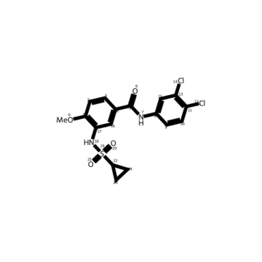 COc1ccc(C(=O)Nc2ccc(Cl)c(Cl)c2)cc1NS(=O)(=O)C1CC1